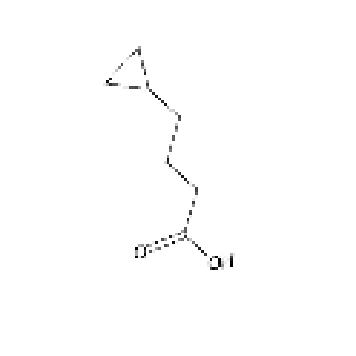 O=C(O)CCCC1CC1